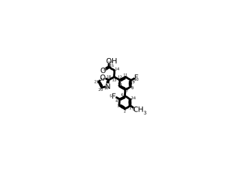 Cc1ccc(F)c(-c2cc(F)cc(C(CC(=O)O)c3ncco3)c2)c1